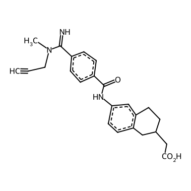 C#CCN(C)C(=N)c1ccc(C(=O)Nc2ccc3c(c2)CCC(CC(=O)O)C3)cc1